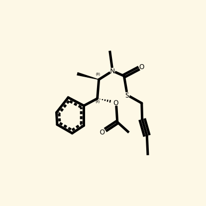 CC#CCSC(=O)N(C)[C@H](C)[C@H](OC(C)=O)c1ccccc1